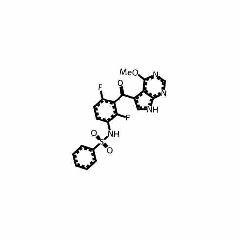 COc1ncnc2[nH]cc(C(=O)c3c(F)ccc(NS(=O)(=O)c4ccccc4)c3F)c12